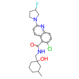 CC1CCCC(O)(CNC(=O)c2c(Cl)ccc3nc(N4CC[C@@H](F)C4)ccc23)C1